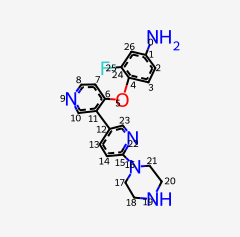 Nc1ccc(Oc2ccncc2-c2ccc(N3CCNCC3)nc2)c(F)c1